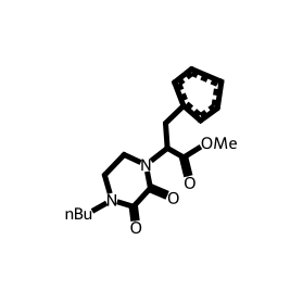 CCCCN1CCN(C(Cc2ccccc2)C(=O)OC)C(=O)C1=O